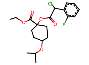 CCOC(=O)C1(OC(=O)C(Cl)c2ccccc2F)CCC(OC(C)C)CC1